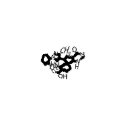 Cc1ccccc1-n1nc(C)c(-c2ccc3[nH]cnc(=O)c3c2)c1Nc1ccccc1C(=O)O